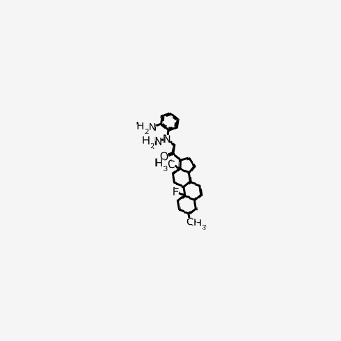 CC1CCC2(F)C(CCC3C4CCC(C(=O)CN(N)c5ccccc5N)C4(C)CCC32)C1